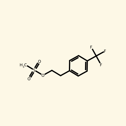 CS(=O)(=O)OCCc1ccc(C(F)(F)F)cc1